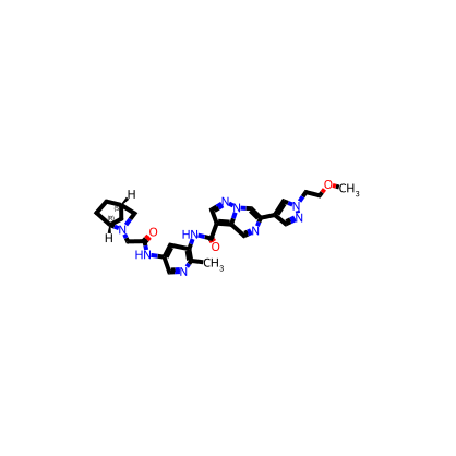 COCCn1cc(-c2cn3ncc(C(=O)Nc4cc(NC(=O)CN5C[C@H]6CC[C@@H]5C6)cnc4C)c3cn2)cn1